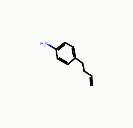 C=CCCc1ccc(N)cc1